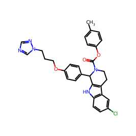 Cc1ccc(OC(=O)N2CCc3c([nH]c4ccc(Cl)cc34)C2c2ccc(OCCCn3cncn3)cc2)cc1